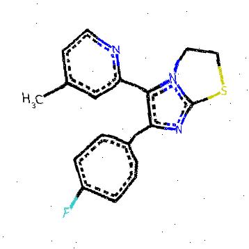 Cc1ccnc(-c2c(-c3ccc(F)cc3)nc3n2CCS3)c1